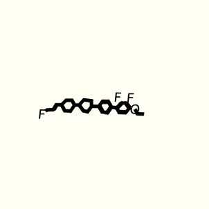 CCOc1ccc(-c2ccc(C3CCC(C4CCC(/C=C/CF)CC4)CC3)cc2)c(F)c1F